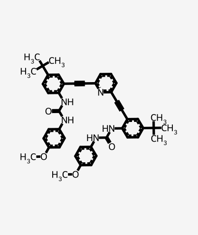 COc1ccc(NC(=O)Nc2ccc(C(C)(C)C)cc2C#Cc2cccc(C#Cc3cc(C(C)(C)C)ccc3NC(=O)Nc3ccc(OC)cc3)n2)cc1